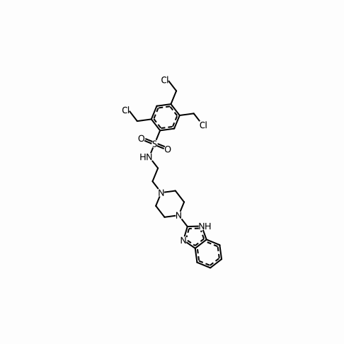 O=S(=O)(NCCN1CCN(c2nc3ccccc3[nH]2)CC1)c1cc(CCl)c(CCl)cc1CCl